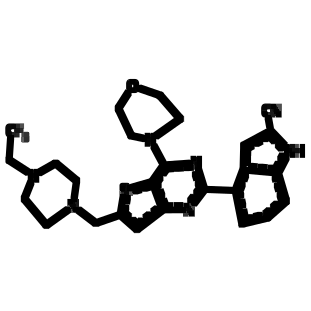 N#Cc1cc2c(-c3nc(N4CCOCC4)c4sc(CN5CCN(CC(F)(F)F)CC5)cc4n3)cccc2[nH]1